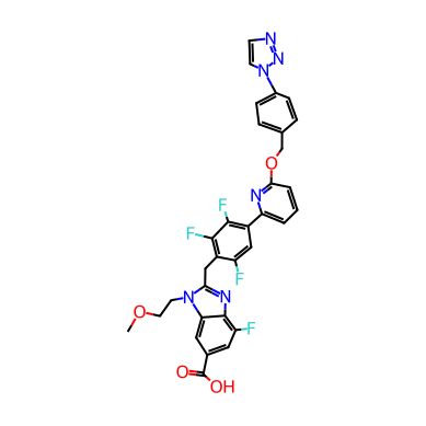 COCCn1c(Cc2c(F)cc(-c3cccc(OCc4ccc(-n5ccnn5)cc4)n3)c(F)c2F)nc2c(F)cc(C(=O)O)cc21